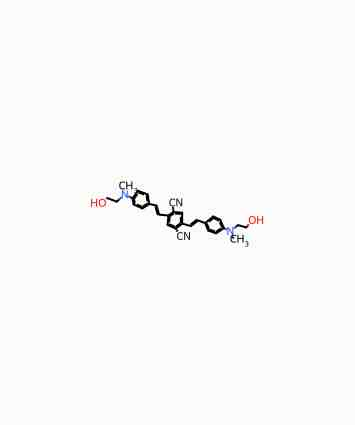 CN(CCO)c1ccc(/C=C/c2cc(C#N)c(/C=C/c3ccc(N(C)CCO)cc3)cc2C#N)cc1